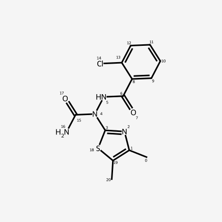 Cc1nc(N(NC(=O)c2ccccc2Cl)C(N)=O)sc1C